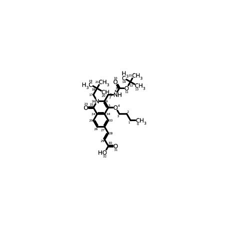 CCCCOc1c(CNC(=O)OC(C)(C)C)n(CC(C)(C)C)c(=O)c2ccc(C=CC(=O)O)cc12